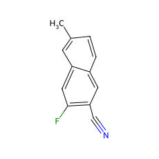 Cc1ccc2cc(C#N)c(F)cc2c1